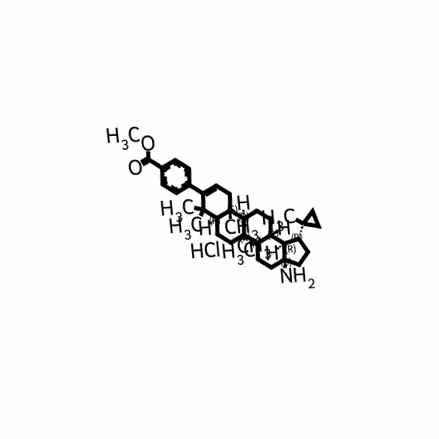 COC(=O)c1ccc(C2=CC[C@]3(C)[C@H]4CC[C@@H]5[C@H]6[C@H](C7(C)CC7)CC[C@]6(N)CC[C@@]5(C)[C@]4(C)CC[C@H]3C2(C)C)cc1.Cl